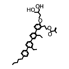 C=C(C)C(=O)OCCc1cc(-c2ccc(-c3ccc(-c4ccc(CCCCC)cc4)c(CC)c3)cc2CC)ccc1OCCC(CO)CO